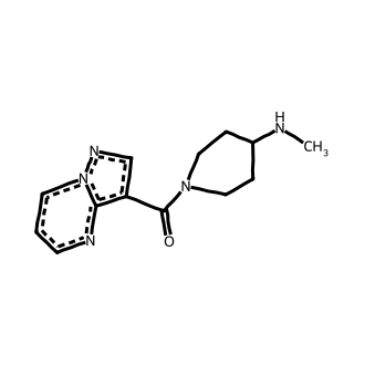 CNC1CCN(C(=O)c2cnn3cccnc23)CC1